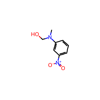 CN(CO)c1cccc([N+](=O)[O-])c1